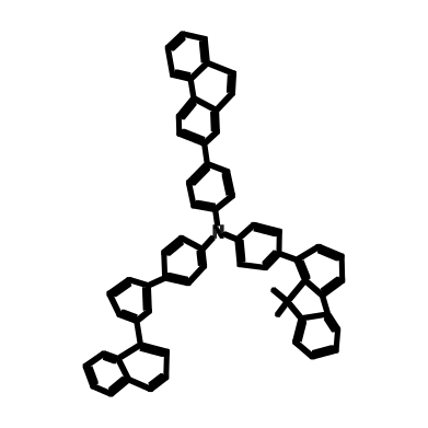 CC1(C)c2ccccc2-c2cccc(-c3ccc(N(c4ccc(-c5cccc(-c6cccc7ccccc67)c5)cc4)c4ccc(-c5ccc6c(ccc7ccccc76)c5)cc4)cc3)c21